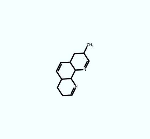 CC1C=NC2C(C=CC3CCC=NC32)C1